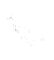 CCNC(=O)Nc1cc2cccc(Nc3cccc(O)c3)c2cn1